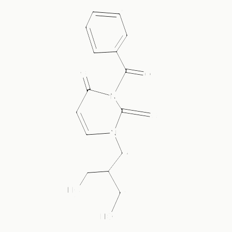 O=C(c1ccccc1)n1c(=O)ccn(CC(CO)CO)c1=O